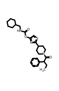 CCC(C(=O)N1CCC(c2nc(OC(=O)NCC3CCCCC3)cs2)CC1)c1ccccc1